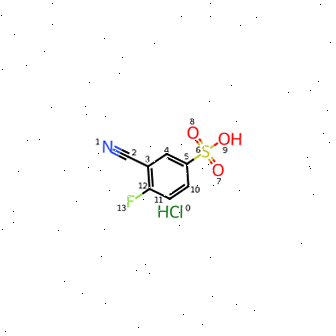 Cl.N#Cc1cc(S(=O)(=O)O)ccc1F